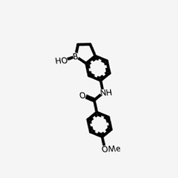 COc1ccc(C(=O)Nc2ccc3c(c2)B(O)CC3)cc1